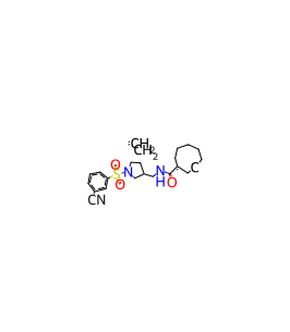 N#Cc1cccc(S(=O)(=O)N2CCC(CNC(=O)[C]3CCCCCCC3)C2)c1.[CH2].[CH2]